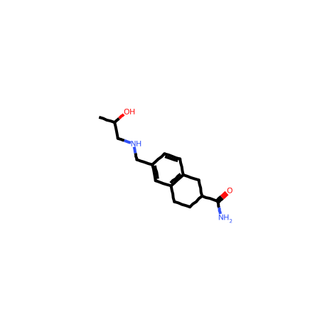 CC(O)CNCc1ccc2c(c1)CCC(C(N)=O)C2